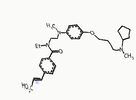 CCN(CCN(C)c1ccc(OCCCN(C)C2CCCC2)cc1)C(=O)c1ccc(/C=C/C(=O)O)cc1